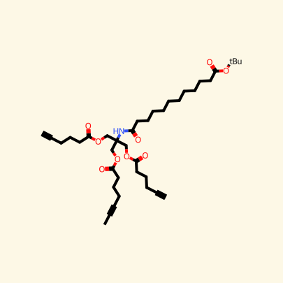 C#CCCCC(=O)OCC(COC(=O)CCCC#C)(COC(=O)CCCC#CC)NC(=O)CCCCCCCCCCC(=O)OC(C)(C)C